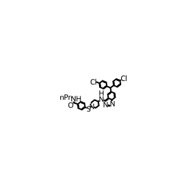 CCCNC(=O)c1ccc(SN2CCC(Nc3ncnc4ccc(C(c5ccc(Cl)cc5)c5ccc(Cl)cc5)cc34)CC2)cc1